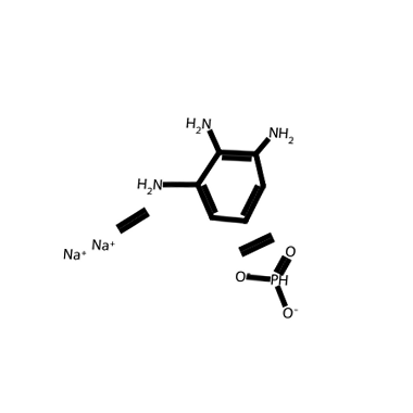 C=C.C=C.Nc1cccc(N)c1N.O=[PH]([O-])[O-].[Na+].[Na+]